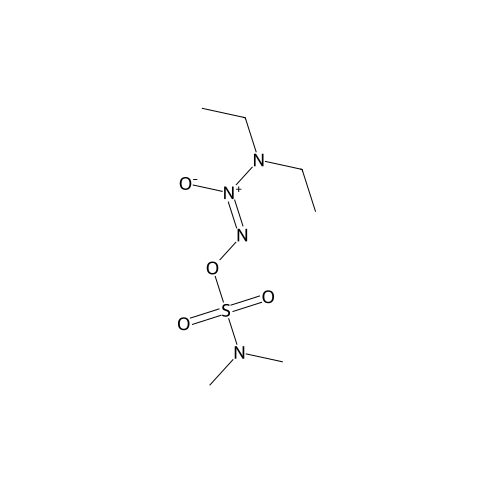 CCN(CC)[N+]([O-])=NOS(=O)(=O)N(C)C